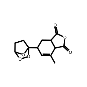 CC1=CC(C23CCC(OO2)O3)CC2C(=O)OC(=O)C12